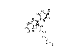 CCCCCCn1c(-c2ccc(F)cc2)cc2ccccc21